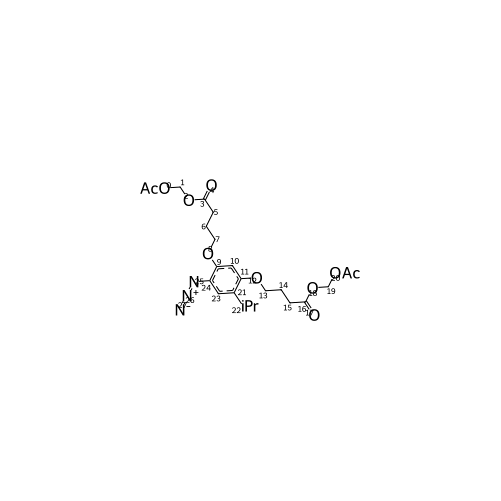 CC(=O)OCOC(=O)CCCOc1cc(OCCCC(=O)OCOC(C)=O)c(C(C)C)cc1N=[N+]=[N-]